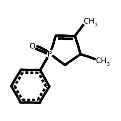 CC1=CP(=O)(c2ccccc2)CC1C